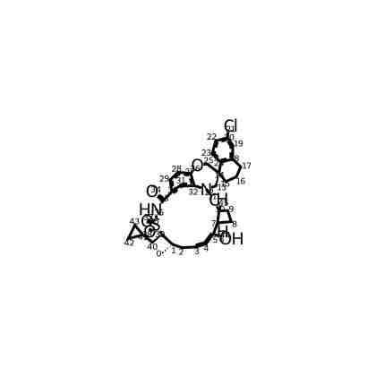 C[C@H]1CC=C=C(O)[C@H]2CC[C@H]2CN2C[C@@]3(CCCc4cc(Cl)ccc43)COc3ccc(cc32)C(=O)NS(=O)(=O)[C@@H]1CC1CC1